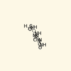 CNC(=O)C1CCC(Nc2ncc(Cl)c(-c3cnn(-c4ccc(=O)[nH]c4)c3)n2)CC1